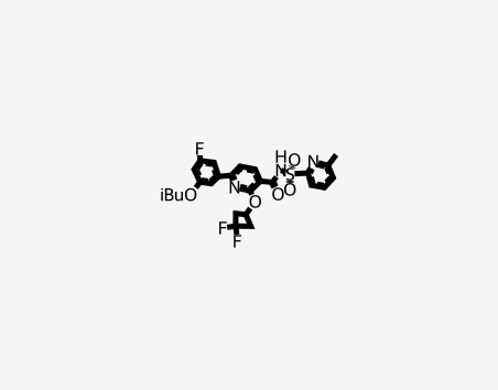 Cc1cccc(S(=O)(=O)NC(=O)c2ccc(-c3cc(F)cc(OCC(C)C)c3)nc2OC2CC(F)(F)C2)n1